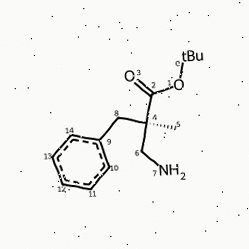 CC(C)(C)OC(=O)[C@@](C)(CN)Cc1ccccc1